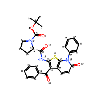 CC(C)(C)OC(=O)N1CCC[C@H]1C(=O)Nc1sc2c(ccc(=O)n2-c2ccccc2)c1C(=O)c1ccccc1